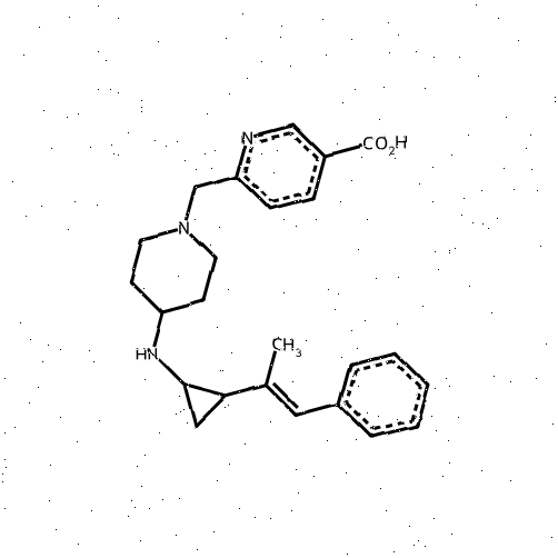 C/C(=C\c1ccccc1)C1CC1NC1CCN(Cc2ccc(C(=O)O)cn2)CC1